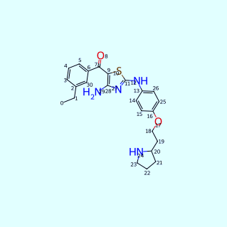 CCc1cccc(C(=O)c2sc(Nc3ccc(OCCC4CCCN4)cc3)nc2N)c1